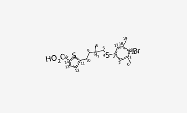 Cc1cc(SCC(C)(C)CCc2ccc(C(=O)O)s2)cc(C)c1Br